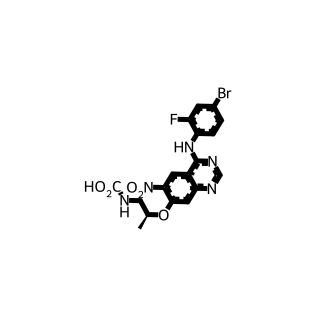 C[C@@H](CNC(=O)O)Oc1cc2ncnc(Nc3ccc(Br)cc3F)c2cc1[N+](=O)[O-]